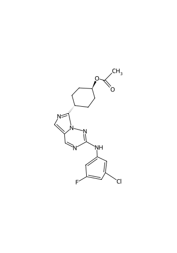 CC(=O)O[C@H]1CC[C@H](c2ncc3cnc(Nc4cc(F)cc(Cl)c4)nn32)CC1